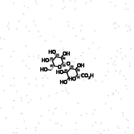 O=C(O)[C@H](O)[C@H](O)[C@@H](O[C@@H]1O[C@H](CO)[C@H](O)[C@H](O)[C@H]1O)[C@H](O)CO